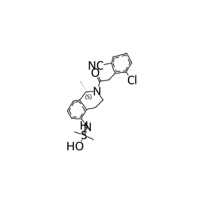 C[C@H]1c2cccc(N=[SH](C)(C)O)c2CCN1C(=O)Cc1c(Cl)cccc1C#N